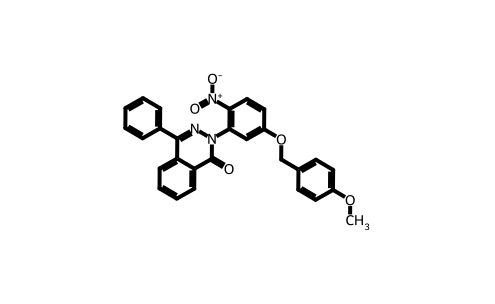 COc1ccc(COc2ccc([N+](=O)[O-])c(-n3nc(-c4ccccc4)c4ccccc4c3=O)c2)cc1